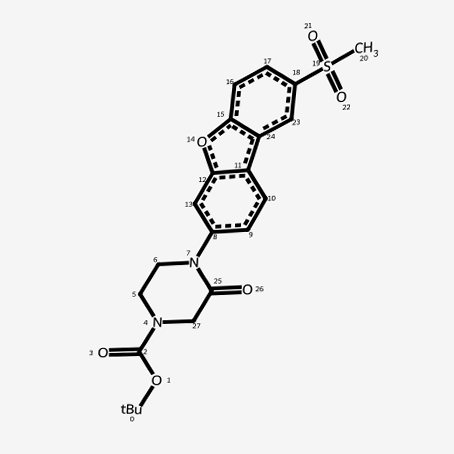 CC(C)(C)OC(=O)N1CCN(c2ccc3c(c2)oc2ccc(S(C)(=O)=O)cc23)C(=O)C1